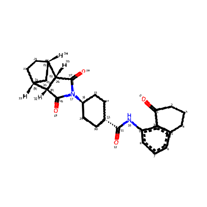 O=C1CCCc2cccc(NC(=O)[C@H]3CC[C@H](N4C(=O)[C@@H]5[C@@H]6CC[C@@H](C6)[C@@H]5C4=O)CC3)c21